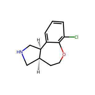 Clc1cccc2c1OCC[C@H]1CNC[C@@H]21